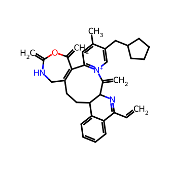 C=CC1=NC2C(=C)[n+]3cc(CC4CCCC4)c(C)cc3C3=C(CCC2c2ccccc21)CNC(=C)OC3=C